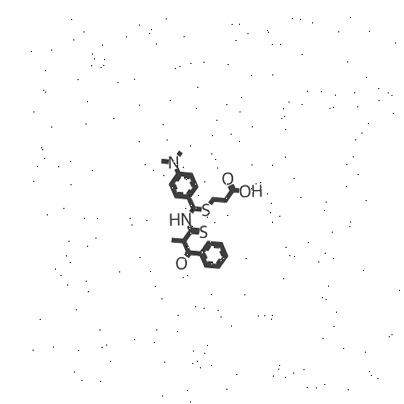 CC(C(=O)c1ccccc1)C(=S)NC(SCCC(=O)O)c1ccc(N(C)C)cc1